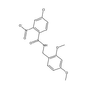 COc1ccc(CNC(=O)c2ccc(Cl)cc2[N+](=O)[O-])c(OC)c1